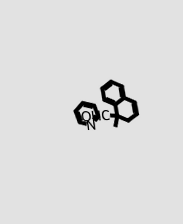 CC1(C=O)CC=Cc2ccccc21.c1ccncc1